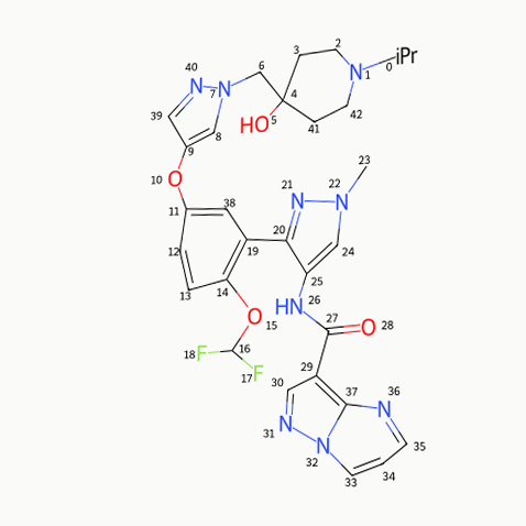 CC(C)N1CCC(O)(Cn2cc(Oc3ccc(OC(F)F)c(-c4nn(C)cc4NC(=O)c4cnn5cccnc45)c3)cn2)CC1